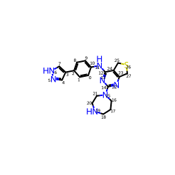 c1cc(-c2cn[nH]c2)ccc1Nc1nc(N2CCCNCC2)nc2c1CSC2